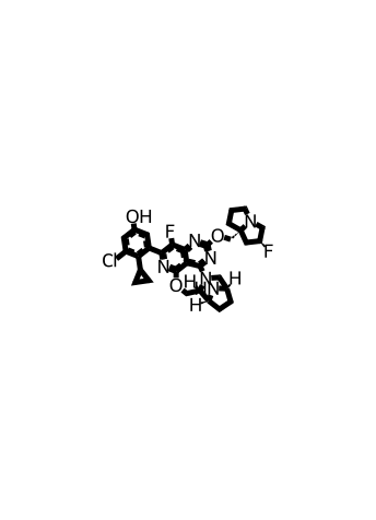 Oc1cc(Cl)c(C2CC2)c(-c2nc3c4c(nc(OC[C@]56CCCN5C[C@H](F)C6)nc4c2F)N2C[C@H]4CC[C@H](N4)[C@@H]2CO3)c1